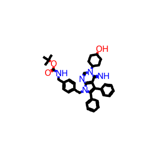 CC(C)(C)OC(=O)NCc1ccc(Cn2c(-c3ccccc3)c(-c3ccccc3)c3c(=N)n(C4CCC(O)CC4)cnc32)cc1